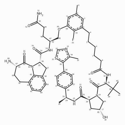 Cc1cc(CCCCCC(=O)N[C@H](C(=O)N2C[C@H](O)C[C@H]2C(=O)N[C@@H](C)c2ccc(-c3scnc3C)cc2)C(C)(C)C)c(F)c(OC[C@H](CCC(N)=O)NC(=O)[C@@H]2Cc3cccc4c3N2C(=O)[C@@H](N)CC4)c1